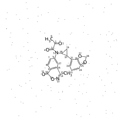 CC(=O)C(=O)N(c1ccc2c(=O)onc(C)c2c1)C1CC1c1cccc2c1OCO2